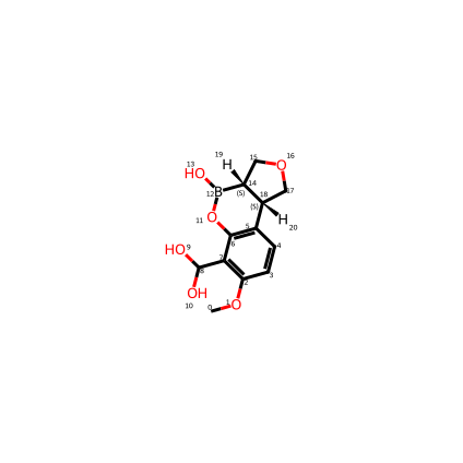 COc1ccc2c(c1C(O)O)OB(O)[C@@H]1COC[C@H]21